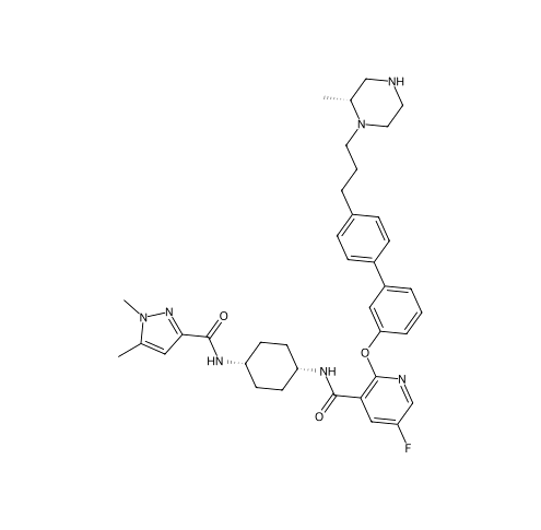 Cc1cc(C(=O)N[C@H]2CC[C@@H](NC(=O)c3cc(F)cnc3Oc3cccc(-c4ccc(CCCN5CCNC[C@H]5C)cc4)c3)CC2)nn1C